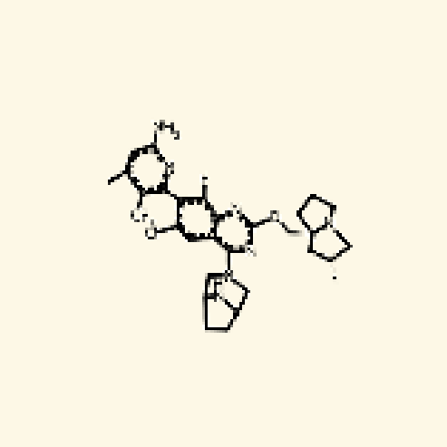 Cc1cc(N)nc(-c2c(Cl)cc3c(N4CC5CCC(C4)N5)nc(OC[C@@]45CCCN4C[C@H](C)C5)nc3c2F)c1C(F)(F)F